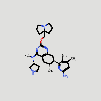 Cc1cc(N)nc([C@@H]2Cc3nc(OCC45CCCN4CCC5)nc(N(C)[C@@H]4CCNC4)c3C[C@H]2C)c1C(F)(F)F